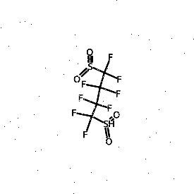 O=[SH](=O)C(F)(F)C(F)(F)C(F)(F)C(F)(F)[SH](=O)=O